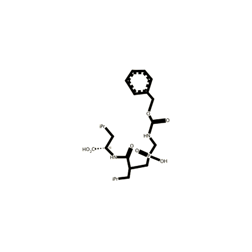 CC(C)CC(CP(=O)(O)CNC(=O)OCc1ccccc1)C(=O)N[C@@H](CC(C)C)C(=O)O